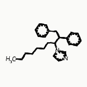 CCCCCCCC(C(Cc1ccccc1)c1ccccc1)n1ccnc1